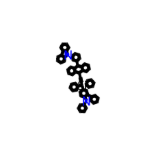 C(#C[Si](c1ccccc1)(c1ccccc1)c1ccc2c(c1)c1ccccc1n2-c1ccccc1)c1c2ccccc2c(-c2cccc(-n3c4ccccc4c4ccccc43)c2)c2ccccc12